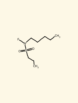 CCCCC[N+](F)S(=O)(=O)CCC